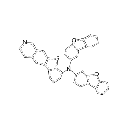 c1ccc2c(c1)oc1cc(N(c3ccc4oc5ccccc5c4c3)c3cccc4c3sc3cc5cnccc5cc34)ccc12